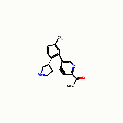 COC(=O)c1c#cc(-c2cc(C(F)(F)F)ccc2[C@@H]2CCNC2)cn1